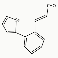 O=CC=Cc1ccccc1-c1ccc[se]1